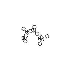 c1ccc(-c2nc(-c3ccccc3)nc(-c3ccc(-n4c5ccccc5c5cc6c(cc54)c4cc5c(cc4n6-c4ccccc4)oc4ccccc45)cc3)n2)cc1